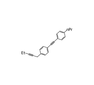 CCC#CCc1ccc(C#Cc2ccc(CCC)cc2)cc1